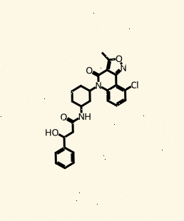 Cc1onc2c1c(=O)n(C1CCCC(NC(=O)CC(O)c3ccccc3)C1)c1cccc(Cl)c21